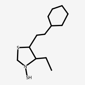 CCC1C(CCC2CCCCC2)SCN1S